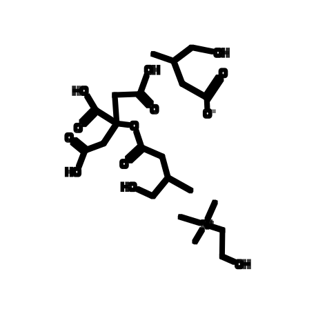 CC(CO)CC(=O)OC(CC(=O)O)(CC(=O)O)C(=O)O.CC(CO)CC(=O)[O-].C[N+](C)(C)CCO